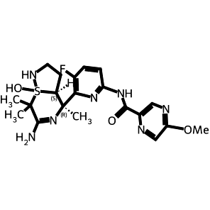 COc1cnc(C(=O)Nc2ccc(F)c([C@@]3(C)N=C(N)C(C)(C)S4(O)NCC[C@@H]34)n2)cn1